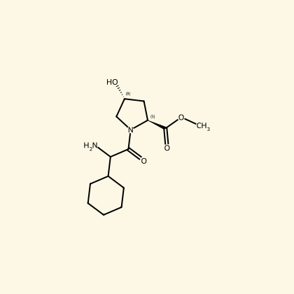 COC(=O)[C@@H]1C[C@@H](O)CN1C(=O)C(N)C1CCCCC1